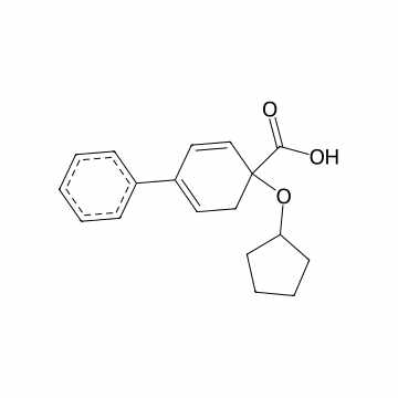 O=C(O)C1(OC2CCCC2)C=CC(c2ccccc2)=CC1